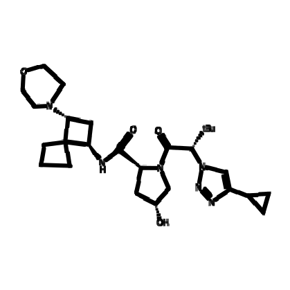 CC(C)(C)[C@@H](C(=O)N1C[C@H](O)C[C@H]1C(=O)N[C@@H]1C[C@@H](N2CCOCC2)C12CCC2)n1cc(C2CC2)nn1